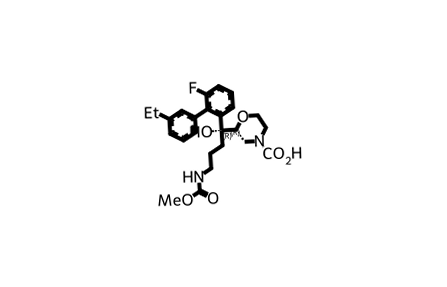 CCc1cccc(-c2c(F)cccc2[C@](O)(CCCNC(=O)OC)[C@H]2CN(C(=O)O)CCO2)c1